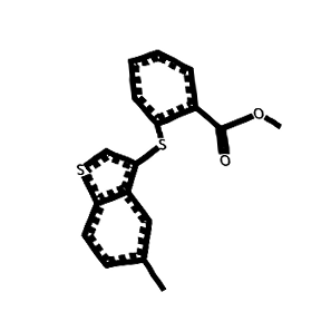 COC(=O)c1ccccc1Sc1csc2ccc(C)cc12